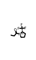 CCC(=O)N1CCC[C@@H]1C(F)(F)F